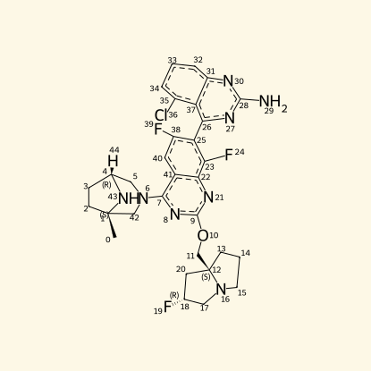 C[C@]12CC[C@H](CN(c3nc(OC[C@@]45CCCN4C[C@H](F)C5)nc4c(F)c(-c5nc(N)nc6cccc(Cl)c56)c(F)cc34)C1)N2